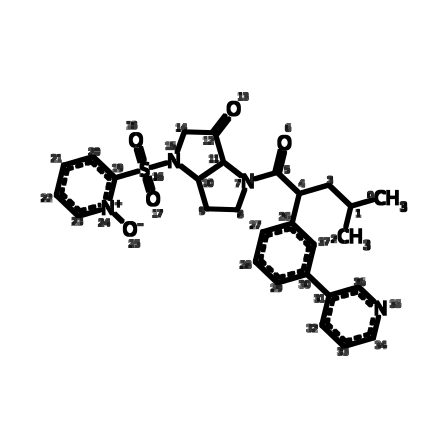 CC(C)CC(C(=O)N1CCC2C1C(=O)CN2S(=O)(=O)c1cccc[n+]1[O-])c1cccc(-c2cccnc2)c1